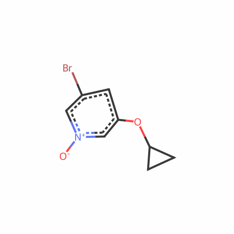 [O-][n+]1cc(Br)cc(OC2CC2)c1